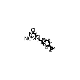 N#Cc1nc(Cl)cc(OCc2cn3cc(C4CC4)ccc3n2)n1